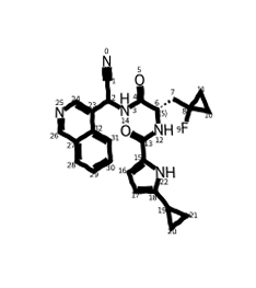 N#CC(NC(=O)[C@H](CC1(F)CC1)NC(=O)c1ccc(C2CC2)[nH]1)c1cncc2ccccc12